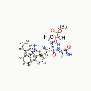 CC(C)(C)OC(=O)C(C)(C)ON=C(C(=O)NC1CNC1=O)c1csc(NC(c2ccccc2)(c2ccccc2)c2ccccc2)n1